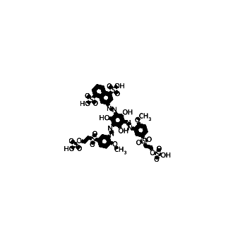 COc1ccc(S(=O)(=O)CCOS(=O)(=O)O)cc1/N=N/c1c(O)c(/N=N/c2cc(S(=O)(=O)O)c3cccc(S(=O)(=O)O)c3c2)c(O)c(/N=N/c2cc(S(=O)(=O)CCOS(=O)(=O)O)ccc2OC)c1O